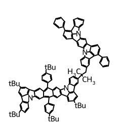 CC(C)(C)c1ccc(-c2c3cc4c5cc(C(C)(C)C)cc6c7cc(C(C)(C)Cc8ccc9c(c8)c8c(-c%10ccccc%10)ccc%10c%11cc%12c(cc%11n9c%108)c8ccc(-c9ccccc9)c9c%10ccccc%10n%12c89)ccc7n(c4cc3c(-c3ccc(C(C)(C)C)cc3)c3cc4c7cc(C(C)(C)C)cc8c9cc(C(C)(C)C)ccc9n(c4cc23)c87)c65)cc1